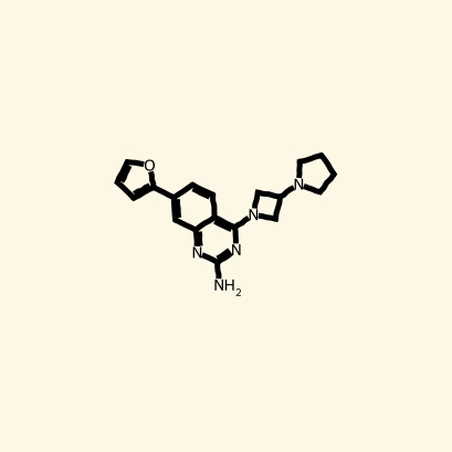 Nc1nc(N2CC(N3CCCC3)C2)c2ccc(-c3ccco3)cc2n1